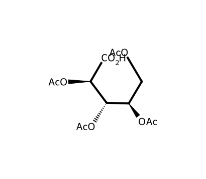 CC(=O)OC[C@@H](OC(C)=O)[C@H](OC(C)=O)[C@@H](OC(C)=O)C(=O)O